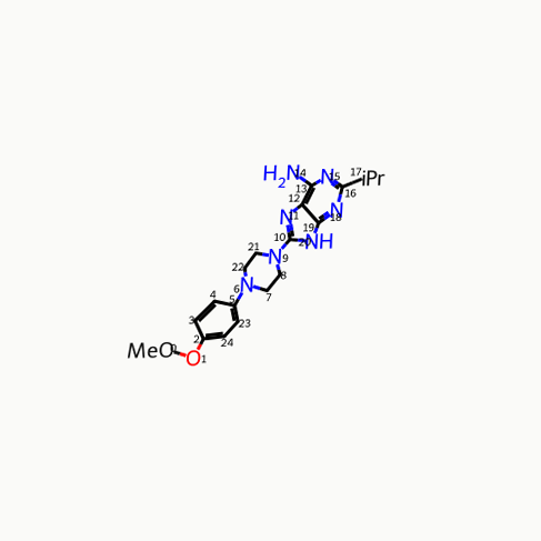 COOc1ccc(N2CCN(c3nc4c(N)nc(C(C)C)nc4[nH]3)CC2)cc1